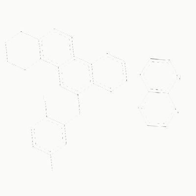 Fc1ccc(F)c(Cc2cc3c4c(ccc3c3ccccc23)CCCC4)c1.c1cnc2ncccc2c1